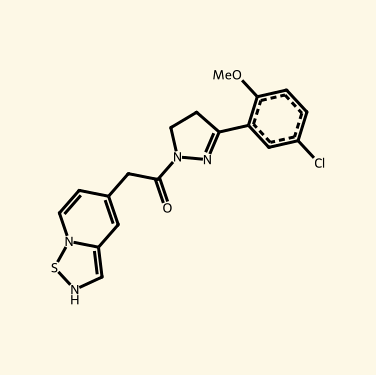 COc1ccc(Cl)cc1C1=NN(C(=O)CC2=CC3=CNSN3C=C2)CC1